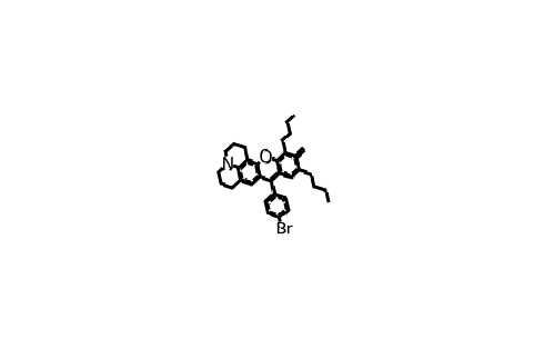 C=c1c(CCCC)cc2c(c1CCCC)Oc1c(cc3c4c1CCCN4CCC3)C=2c1ccc(Br)cc1